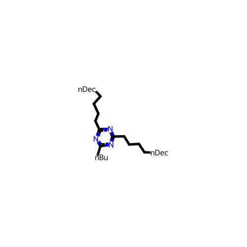 [CH2]CCCc1nc(CCCCCCCCCCCCCC)nc(CCCCCCCCCCCCCC)n1